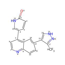 O=c1ccc(-c2ccnc3ccc(-c4c[nH]nc4C(F)(F)F)cc23)c[nH]1